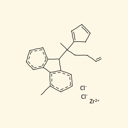 C=CCCC(C)(C1=CC=CC1)C1c2ccccc2-c2c(C)cccc21.[Cl-].[Cl-].[Zr+2]